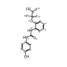 O=C(Nc1ccc(O)cc1)Nc1ccccc1OC(F)(F)C(F)Cl